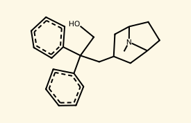 CN1C2CCC1CC(CC(CO)(c1ccccc1)c1ccccc1)C2